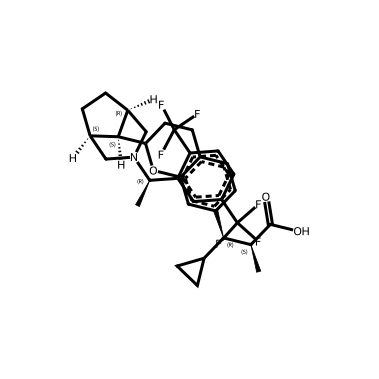 C[C@H](C(=O)O)[C@H](c1ccc2c(c1)OC([C@H]1[C@@H]3CC[C@H]1CN([C@H](C)c1cc(C(F)(F)F)ccc1C(F)(F)F)C3)CC2)C1CC1